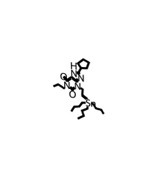 CCC[CH2][Sn](/[CH]=C/Cn1c(=O)n(CCC)c(=O)c2[nH]c(C3CCCC3)nc21)([CH2]CCC)[CH2]CCC